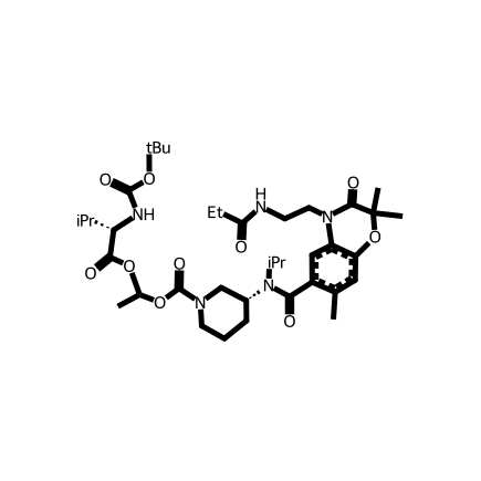 CCC(=O)NCCN1C(=O)C(C)(C)Oc2cc(C)c(C(=O)N(C(C)C)[C@@H]3CCCN(C(=O)OC(C)OC(=O)[C@@H](NC(=O)OC(C)(C)C)C(C)C)C3)cc21